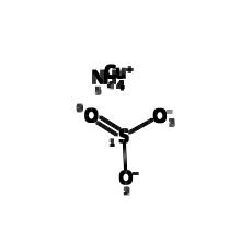 O=S([O-])[O-].[Cu+].[NH4+]